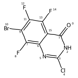 O=c1[nH]c(Cl)nc2c(F)c(Br)c(F)c(F)c12